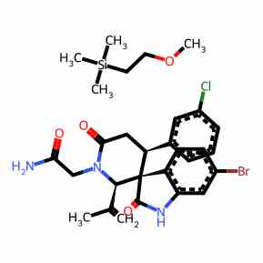 C=C(C)[C@H]1N(CC(N)=O)C(=O)C[C@@H](c2cccc(Cl)c2)[C@]12C(=O)Nc1cc(Br)ccc12.COCC[Si](C)(C)C